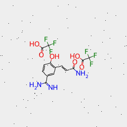 N=C(N)c1ccc(O)c(C=CC(N)=O)c1.O=C(O)C(F)(F)F.O=C(O)C(F)(F)F